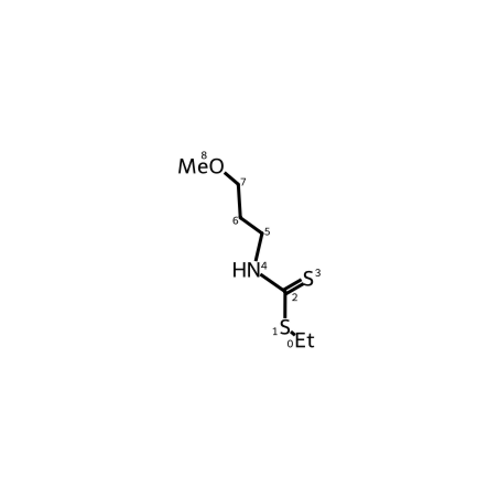 CCSC(=S)NCCCOC